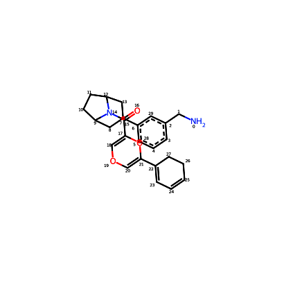 NCc1cccc(C2CC3CCC(C2)N3C(=O)C2=COC=C(C3=CC=CCC3)O2)c1